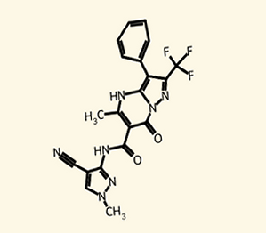 Cc1[nH]c2c(-c3ccccc3)c(C(F)(F)F)nn2c(=O)c1C(=O)Nc1nn(C)cc1C#N